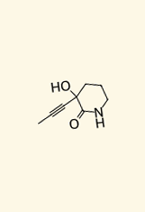 CC#CC1(O)CCCNC1=O